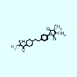 C=C(C)C(=O)C1CCC(CCc2ccc(N3C(=O)C(C)=C(C)C3=O)cc2)CC1